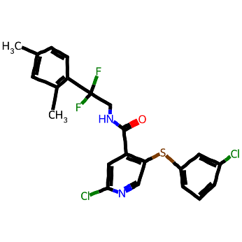 Cc1ccc(C(F)(F)CNC(=O)c2cc(Cl)ncc2Sc2cccc(Cl)c2)c(C)c1